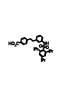 CC(C)c1cc(C(C)C)c(S(=O)(=O)Nc2cccc(CCc3ccc(C(=O)O)cc3)c2)c(C(C)C)c1